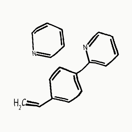 C=Cc1ccc(-c2ccccn2)cc1.c1ccncc1